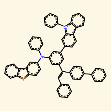 C(=C(/c1ccc(-c2ccccc2)cc1)c1cc(-c2ccc3c4ccccc4n(-c4ccccc4)c3c2)cc(N(c2ccccc2)c2ccc3sc4ccccc4c3c2)c1)/c1ccccc1